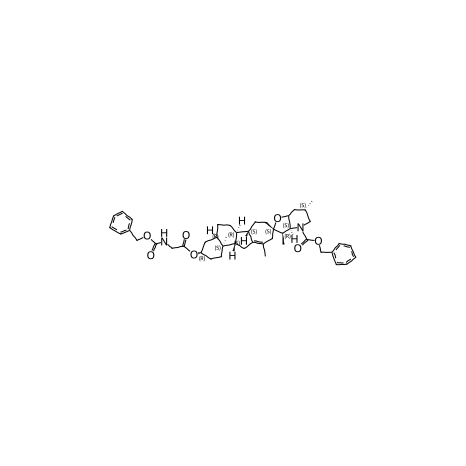 CC1=C2C[C@H]3[C@@H](CC[C@@H]4C[C@H](OC(=O)CNC(=O)OCc5ccccc5)CC[C@@]43C)[C@@H]2CC[C@@]2(C1)OC1C[C@H](C)CN(C(=O)OCc3ccccc3)[C@H]1[C@H]2C